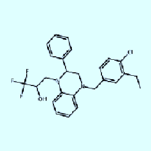 CCc1cc(CN2CC(c3ccccc3)N(CC(O)C(F)(F)F)c3ccccc32)ccc1Cl